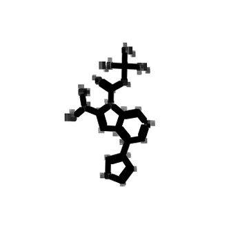 CC(C)(C)OC(=O)n1c(B(O)O)cc2c(-c3ccoc3)cncc21